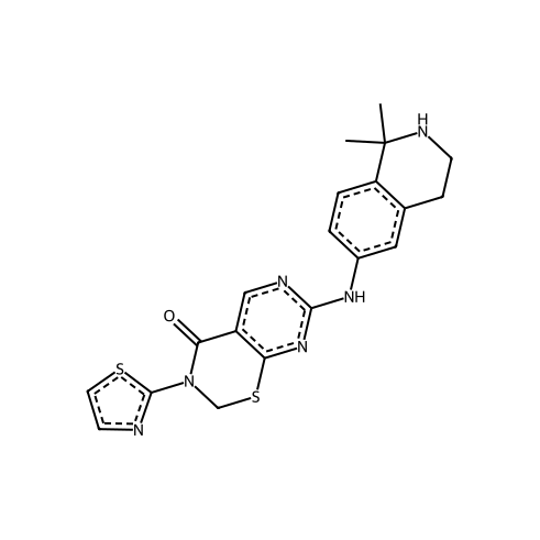 CC1(C)NCCc2cc(Nc3ncc4c(n3)SCN(c3nccs3)C4=O)ccc21